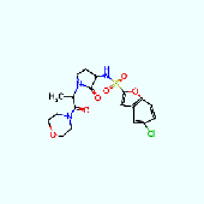 CC(C(=O)N1CCOCC1)N1CCC(NS(=O)(=O)c2cc3cc(Cl)ccc3o2)C1=O